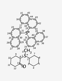 C[S+](C1CCCCC1)C1CCCCC1=O.c1ccc2c([S+](c3cccc4ccccc34)c3cccc4ccccc34)cccc2c1